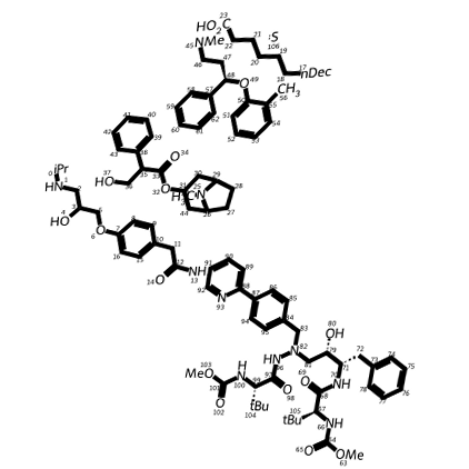 CC(C)NCC(O)COc1ccc(CC(N)=O)cc1.CCCCCCCCCCCCCCCC(=O)O.CN1C2CCC1CC(OC(=O)C(CO)c1ccccc1)C2.CNCC[C@@H](Oc1ccccc1C)c1ccccc1.COC(=O)N[C@H](C(=O)N[C@@H](Cc1ccccc1)[C@@H](O)CN(Cc1ccc(-c2ccccn2)cc1)NC(=O)[C@@H](NC(=O)OC)C(C)(C)C)C(C)(C)C.[S]